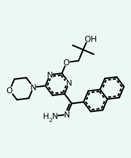 CC(C)(O)COc1nc(C(=NN)c2ccc3ccccc3c2)cc(N2CCOCC2)n1